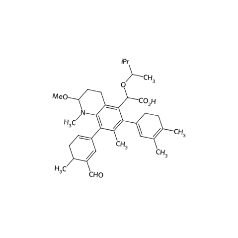 COC1CCc2c(C(OC(C)C(C)C)C(=O)O)c(C3=CC(C)=C(C)CC3)c(C)c(C3=CCC(C)C(C=O)=C3)c2N1C